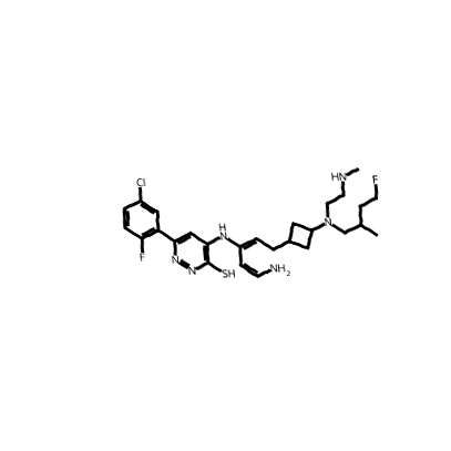 CNCCN(CC(C)CCF)C1CC(C/C=C(\C=C/N)Nc2cc(-c3cc(Cl)ccc3F)nnc2S)C1